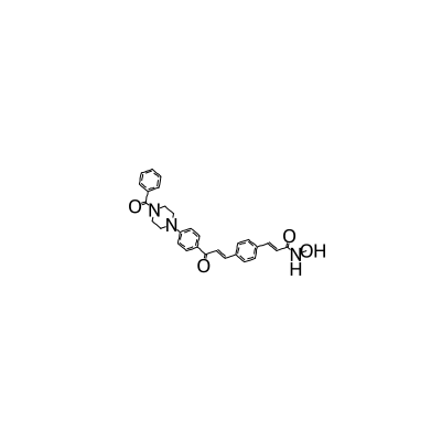 O=C(/C=C/c1ccc(/C=C/C(=O)c2ccc(N3CCN(C(=O)c4ccccc4)CC3)cc2)cc1)NO